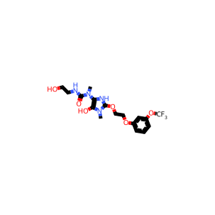 CN(C(=O)NCCO)C1=C(O)N(C)C(OCCOc2cccc(OC(F)(F)F)c2)N1